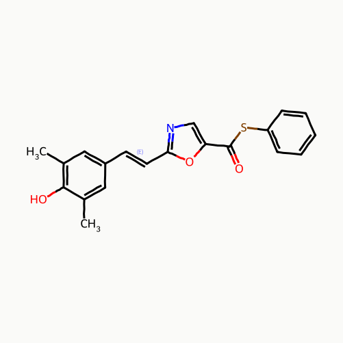 Cc1cc(/C=C/c2ncc(C(=O)Sc3ccccc3)o2)cc(C)c1O